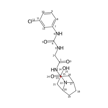 O=C(CNC(=O)Nc1cccc(Cl)c1)NC1CC2CCC(C1)N2C(=O)O